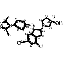 Cc1nnc(C)n1-c1ccc(O[C@H]2c3cc(Cl)cc(Cl)c3C[C@@H]2N2CC[C@@](C)(O)C2)cc1